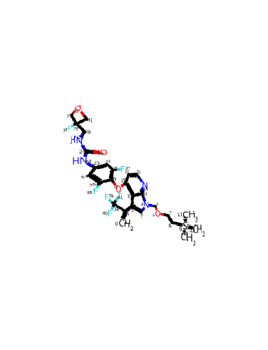 C=C(c1cn(COCC[Si](C)(C)C)c2nccc(Oc3c(F)cc(NC(=O)NCC4(F)COC4)cc3F)c12)C(F)(F)F